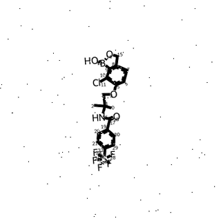 CC(C)(COc1ccc2c(c1Cl)B(O)OC2)NC(=O)c1ccc(S(F)(F)(F)(F)F)cc1